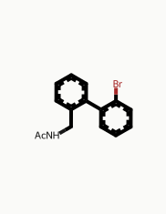 CC(=O)NCc1ccccc1-c1ccccc1Br